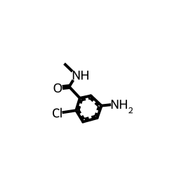 CNC(=O)c1cc(N)ccc1Cl